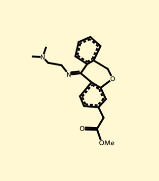 COC(=O)Cc1ccc2c(c1)OCc1ccccc1C2=NCCN(C)C